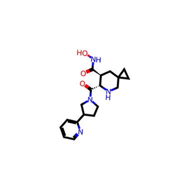 O=C(NO)[C@H]1CC2(CC2)CN[C@@H]1C(=O)N1CCC(c2ccccn2)C1